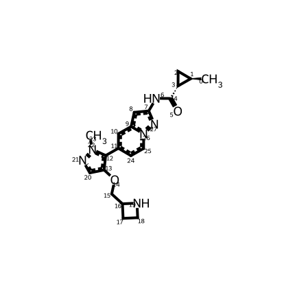 C[C@@H]1C[C@H]1C(=O)Nc1cc2cc(-c3c(OCC4CCN4)cnn3C)ccn2n1